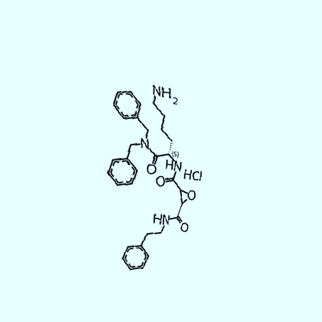 Cl.NCCCC[C@H](NC(=O)C1OC1C(=O)NCCc1ccccc1)C(=O)N(Cc1ccccc1)Cc1ccccc1